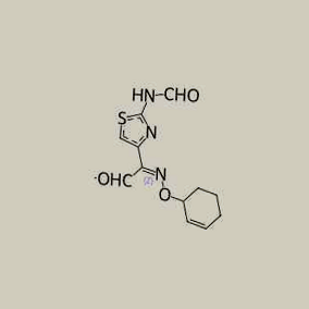 O=[C]/C(=N\OC1C=CCCC1)c1csc(NC=O)n1